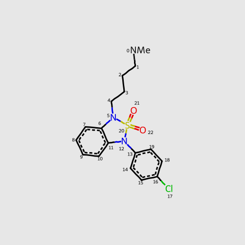 CNCCCCN1c2ccccc2N(c2ccc(Cl)cc2)S1(=O)=O